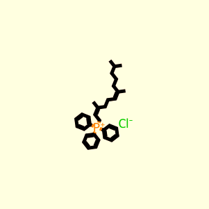 CC(=CC[P+](c1ccccc1)(c1ccccc1)c1ccccc1)CCC=C(C)CCCC(C)C.[Cl-]